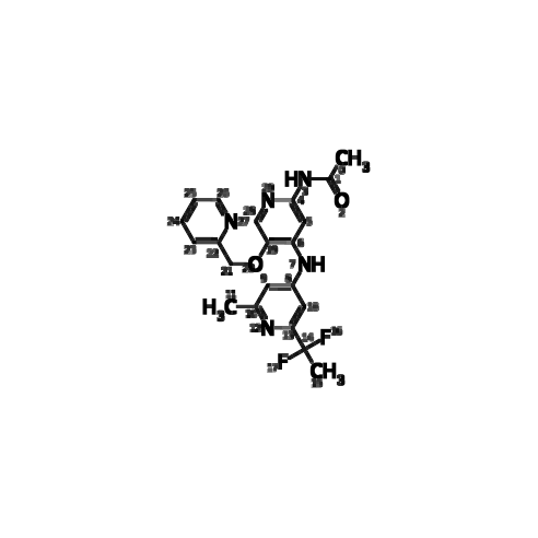 CC(=O)Nc1cc(Nc2cc(C)nc(C(C)(F)F)c2)c(OCc2ccccn2)cn1